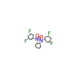 O=S1(=O)N(c2cc(F)cc(F)c2)c2ccccc2N1c1cc(F)cc(F)c1